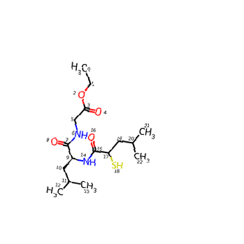 CCOC(=O)CNC(=O)[C@H](CC(C)C)NC(=O)C(S)CC(C)C